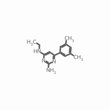 CCNc1cc(-c2cc(C)cc(C)c2)nc(N)n1